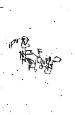 CC(C)C(=O)N1CCC(c2cc(-c3ccc(NC(=O)c4c5n(n(-c6ccccc6)c4=O)CCCC5)cc3F)c3c(N)ncnn23)CC1